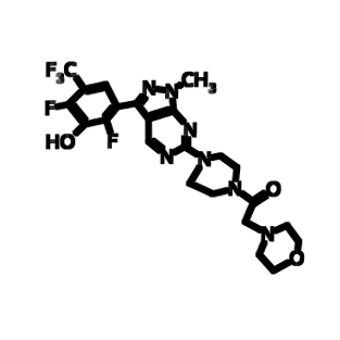 Cn1nc(-c2cc(C(F)(F)F)c(F)c(O)c2F)c2cnc(N3CCN(C(=O)CN4CCOCC4)CC3)nc21